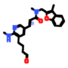 CNc1ncc(/C=C/C(=O)N(C)Cc2oc3ccccc3c2C)cc1CCCC=O